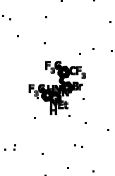 CC[C@@H]1C[C@H](Nc2ncc(Br)cc2Cc2cc(C(F)(F)F)cc(C(F)(F)F)c2)c2cc(C(F)(F)F)ccc2N1